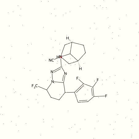 N#CN1C[C@H]2CC[C@@H](C1)C2Nc1nc2n(n1)C(C(F)(F)F)CCC2c1ccc(F)c(F)c1F